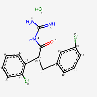 Cl.N=C(N)NC(=O)[C@H](Cc1cccc(Cl)c1)c1ccccc1Cl